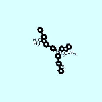 CC1(C)c2ccc(-c3ccc(N(c4ccc(-c5ccc6c(c5)sc5ccccc56)cc4)c4ccc5c(c4)C(C)(C)c4ccccc4-5)cc3)cc2-c2ccc(-c3ccccc3)cc21